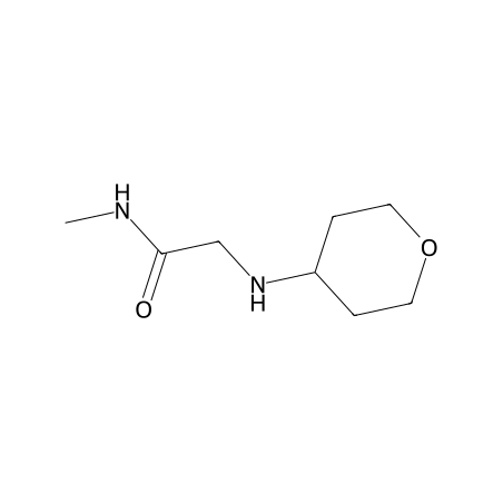 CNC(=O)CNC1CCOCC1